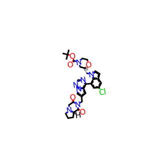 CC(C)(C)OC(=O)N1CCO[C@H](Cn2ccc3cc(Cl)cc(-c4ncnn5cc(CN6C(=O)CN7CCC[C@H]7C6=O)cc45)c32)C1